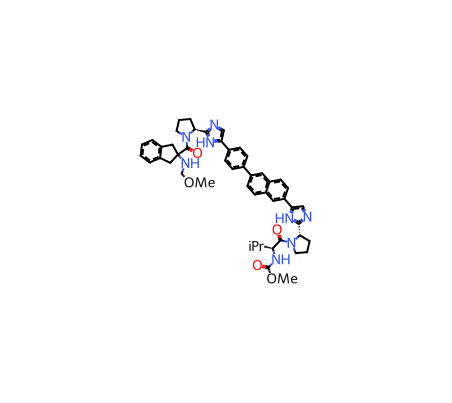 COCNC1(C(=O)N2CCC[C@H]2c2ncc(-c3ccc(-c4ccc5cc(-c6cnc([C@@H]7CCCN7C(=O)[C@@H](NC(=O)OC)C(C)C)[nH]6)ccc5c4)cc3)[nH]2)Cc2ccccc2C1